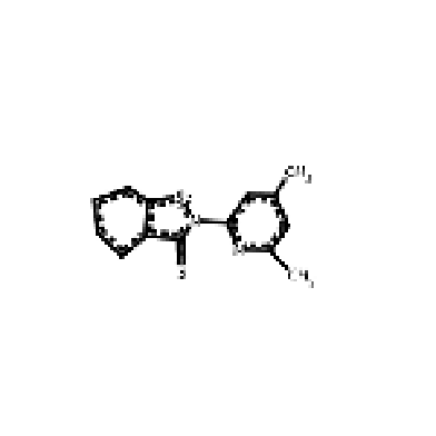 Cc1cc(C)nc(-n2[se]c3ccccc3c2=S)c1